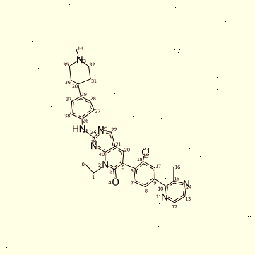 CCn1c(=O)c(-c2ccc(-c3nccnc3C)cc2Cl)cc2cnc(Nc3ccc(C4CCN(C)CC4)cc3)nc21